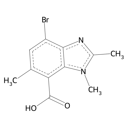 Cc1cc(Br)c2nc(C)n(C)c2c1C(=O)O